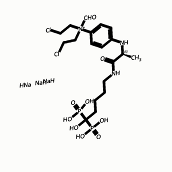 C[C@H](Nc1ccc([N+](C=O)(CCCl)CCCl)cc1)C(=O)NCCCCC(O)(P(=O)(O)O)P(=O)(O)O.[NaH].[NaH].[NaH]